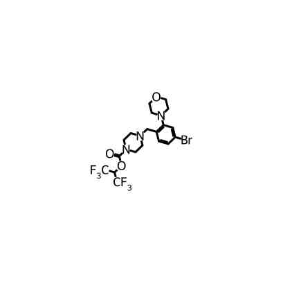 O=C(OC(C(F)(F)F)C(F)(F)F)N1CCN(Cc2ccc(Br)cc2N2CCOCC2)CC1